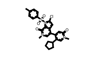 Cc1ccc(S(=O)(=O)n2c(Cl)cc3c(-c4cc(=O)n(C)cc4C4CCCC4)cn(C)c(=O)c32)cc1